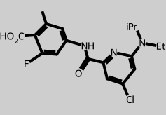 CCN(c1cc(Cl)cc(C(=O)Nc2cc(C)c(C(=O)O)c(F)c2)n1)C(C)C